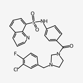 O=C(c1ccc(NS(=O)(=O)c2cccc3cccnc23)cc1)N1CCN(Cc2ccc(F)c(Cl)c2)C1